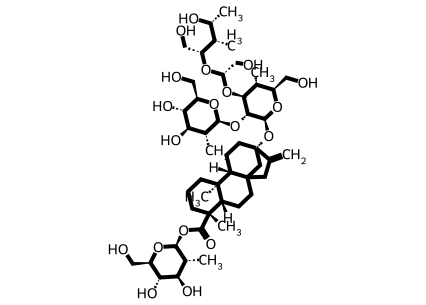 C=C1CC23CC[C@H]4[C@@](C)(CCC[C@@]4(C)C(=O)O[C@@H]4O[C@H](CO)[C@@H](O)[C@H](O)[C@H]4C)[C@@H]2CC[C@]1(O[C@@H]1O[C@H](CO)[C@@H](C)[C@H](O[C@@H](CO)O[C@H](CO)[C@@H](C)[C@@H](C)O)[C@H]1O[C@@H]1O[C@H](CO)[C@@H](O)[C@H](O)[C@H]1C)C3